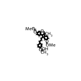 COCOc1ccc(C2(C)COc3cc(OCOC)ccc3C2CCCCc2ccc(OC(C)O)cc2)cc1